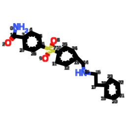 NC(=O)c1ccc(S(=O)(=O)c2ccc(CNCCc3ccccc3)cc2)cc1